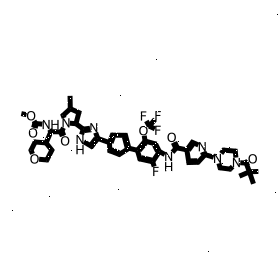 COC(=O)NC(C(=O)N1CC(C)CC1c1nc(-c2ccc(-c3cc(F)c(NC(=O)c4ccc(N5CCN(C(=O)C(C)(C)C)CC5)nc4)cc3OC(F)(F)F)cc2)c[nH]1)C1CCOCC1